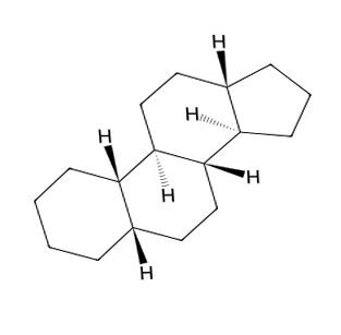 C1CC[C@H]2[C@@H](C1)CC[C@@H]1[C@@H]2CC[C@@H]2CCC[C@H]21